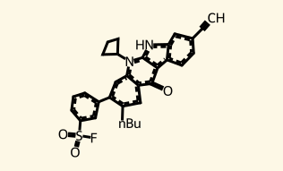 C#Cc1ccc2c(c1)[nH]c1c2c(=O)c2cc(CCCC)c(-c3cccc(S(=O)(=O)F)c3)cc2n1C1CCC1